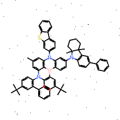 Cc1cc2c3c(c1)N(c1ccc(C(C)(C)C)cc1-c1ccccc1)c1ccc(C(C)(C)C)cc1B3c1ccc(N3c4ccc(-c5ccccc5)cc4C4(C)CCCCC34C)cc1N2c1ccc2c(c1)sc1ccccc12